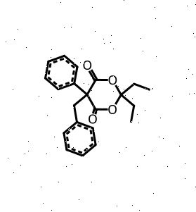 CCC1(CC)OC(=O)C(Cc2ccccc2)(c2ccccc2)C(=O)O1